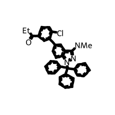 CCC(=O)c1ccc(Cl)c(-c2ccc3c(c2)c(NC)nn3C(c2ccccc2)(c2ccccc2)c2ccccc2)c1